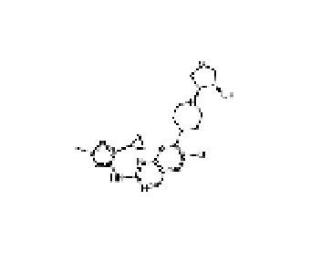 Cc1cc(Nc2ncc3cc(Cl)c(C4CCN([C@H]5COC[C@H]5O)CC4)cc3n2)n(C2CC2)n1